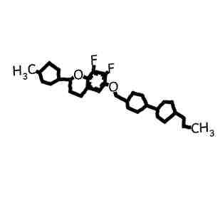 CCCC1CCC(C2CCC(COc3cc4c(c(F)c3F)OC(C3CCC(C)CC3)CC4)CC2)CC1